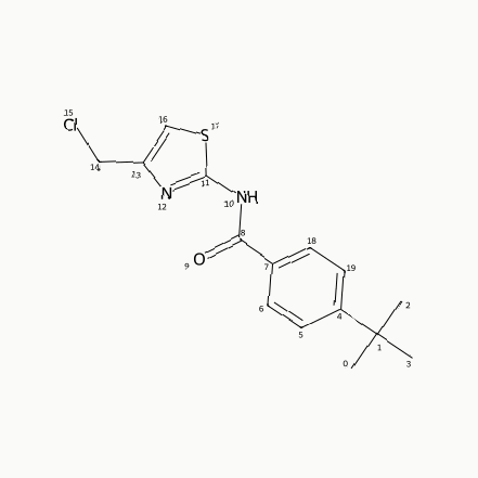 CC(C)(C)c1ccc(C(=O)Nc2nc(CCl)cs2)cc1